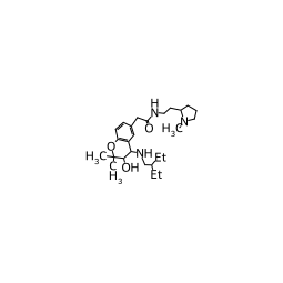 CCC(CC)CNC1c2cc(CC(=O)NCCC3CCCN3C)ccc2OC(C)(C)C1O